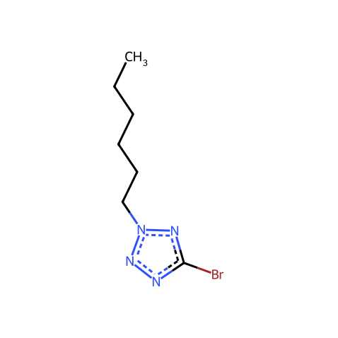 CCCCCCn1nnc(Br)n1